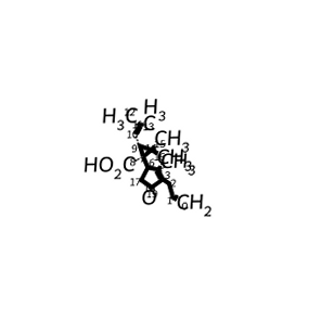 C=CCC1=C(C)C([C@@]2(C(=O)O)[C@H](C=C(C)C)C2(C)C)CC1=O